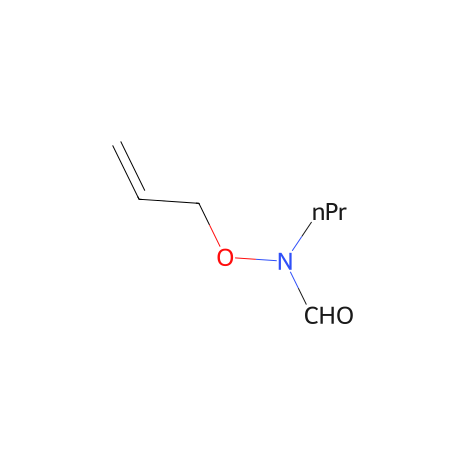 C=CCON(C=O)CCC